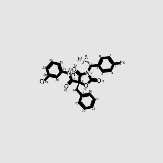 C[C@H](c1ccc(F)cc1)N1C(=O)O[C@](Cc2ccccc2)(C(=O)Nc2cccc(Cl)c2)C1=O